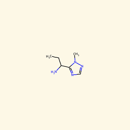 CCC(N)c1ncnn1C